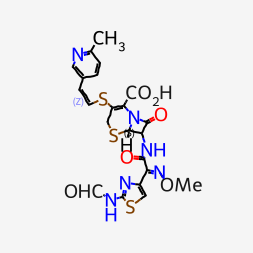 CON=C(C(=O)NC1C(=O)N2C(C(=O)O)=C(S/C=C\c3ccc(C)nc3)CS[C@@H]12)c1csc(NC=O)n1